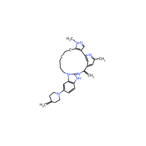 C=C1CCN(c2ccc3c(c2)N2CCCCCCc4c(cnn4C)-c4cc(cc(C)n4)C(=C)/N=C/2N3)CC1